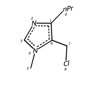 CCCc1ncn(C)c1CCl